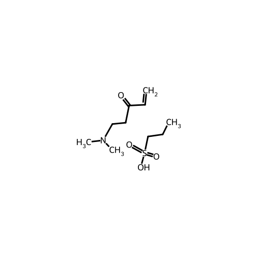 C=CC(=O)CCN(C)C.CCCS(=O)(=O)O